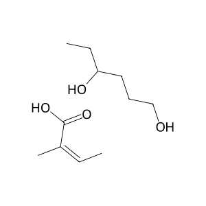 CC=C(C)C(=O)O.CCC(O)CCCO